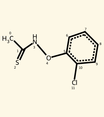 CC(=S)NOc1ccccc1Cl